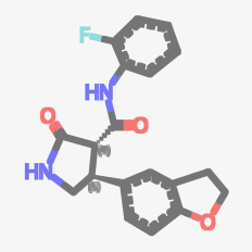 O=C1NC[C@H](c2ccc3c(c2)CCO3)[C@H]1C(=O)Nc1ccccc1F